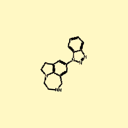 c1ccc2c(c1)nnn2-c1cc2c3c(c1)CNCCN3CC2